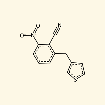 N#Cc1c(Cc2ccsc2)cccc1[N+](=O)[O-]